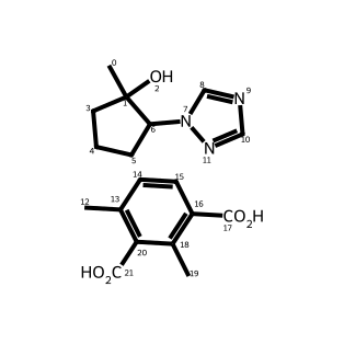 CC1(O)CCCC1n1cncn1.Cc1ccc(C(=O)O)c(C)c1C(=O)O